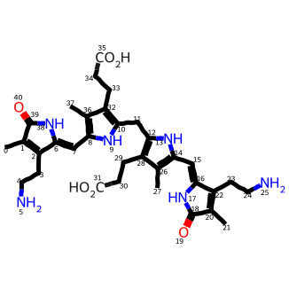 CC1=C(CCN)/C(=C/c2[nH]c(Cc3[nH]c(/C=C4\NC(=O)C(C)=C4CCN)c(C)c3CCC(=O)O)c(CCC(=O)O)c2C)NC1=O